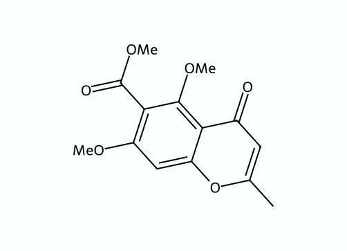 COC(=O)c1c(OC)cc2oc(C)cc(=O)c2c1OC